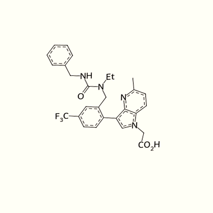 CCN(Cc1cc(C(F)(F)F)ccc1-c1cn(CC(=O)O)c2ccc(C)nc12)C(=O)NCc1ccccc1